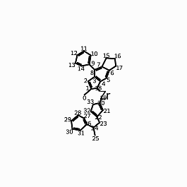 CC1=Cc2c(cc3c(c2-c2ccccc2)CCC3)[CH]1[Zr][C]1=CC(CC(C)c2ccccc2)=CC1